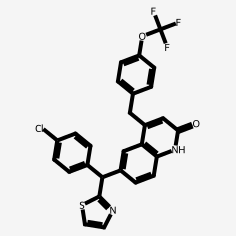 O=c1cc(Cc2ccc(OC(F)(F)F)cc2)c2cc(C(c3ccc(Cl)cc3)c3nccs3)ccc2[nH]1